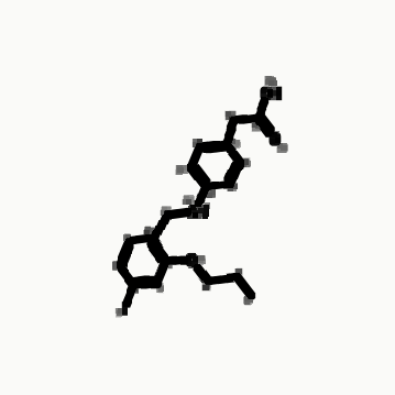 CCCOc1cc(I)ccc1CNc1ccc(CC(=O)O)cc1